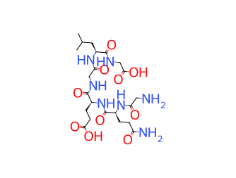 CC(C)C[C@H](NC(=O)CNC(=O)[C@H](CCC(=O)O)NC(=O)[C@H](CCC(N)=O)NC(=O)CN)C(=O)NCC(=O)O